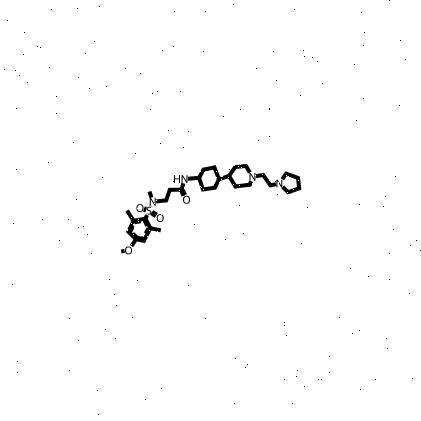 COc1cc(C)c(S(=O)(=O)N(C)CCC(=O)NC2CCC(C3CCN(CCN4CCCC4)CC3)CC2)c(C)c1